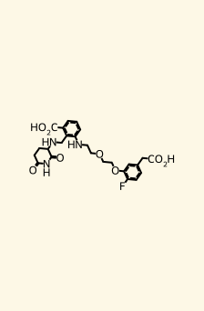 O=C(O)Cc1ccc(F)c(OCCOCCNc2cccc(C(=O)O)c2CNC2CCC(=O)NC2=O)c1